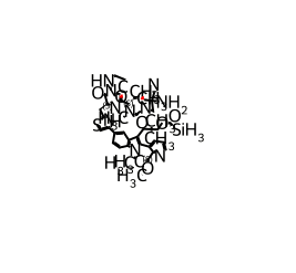 CCn1c(-c2cccnc2[C@H](C)OC)c(CC(C)(C)COC(=O)[SiH3])c2cc(-c3csc(C[C@H](NC(=O)[C@H](C(C)C)N(C)C(=O)N4CC(N)(C#N)C4)C(=O)N4CCCCN4)n3)ccc21